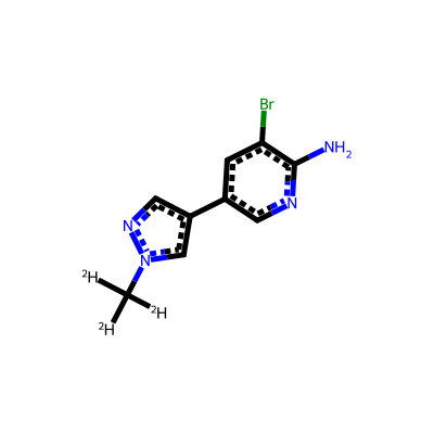 [2H]C([2H])([2H])n1cc(-c2cnc(N)c(Br)c2)cn1